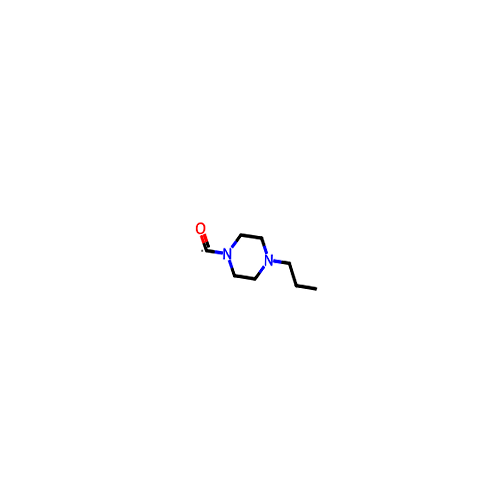 CCCN1CCN([C]=O)CC1